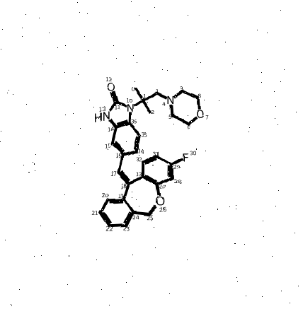 CC(C)(CN1CCOCC1)n1c(=O)[nH]c2cc(C=C3c4ccccc4COc4cc(F)ccc43)ccc21